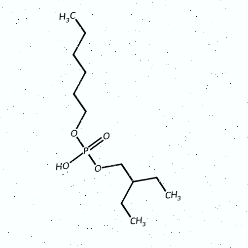 CCCCCCOP(=O)(O)OCC(CC)CC